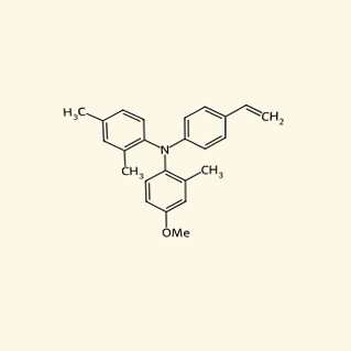 C=Cc1ccc(N(c2ccc(C)cc2C)c2ccc(OC)cc2C)cc1